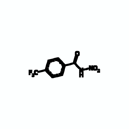 O=C(N[N+](=O)[O-])c1ccc(C(F)(F)F)cc1